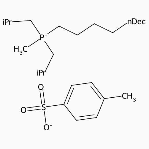 CCCCCCCCCCCCCC[P+](C)(CC(C)C)CC(C)C.Cc1ccc(S(=O)(=O)[O-])cc1